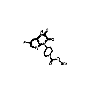 CC(C)(C)OC(=O)N1CCC(n2c(=O)c(=O)[nH]c3cc(F)cnc32)CC1